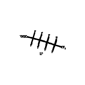 O=C([O-])C(F)(F)C(F)(F)C(F)(F)C(F)(F)C(F)(F)F.[Li+]